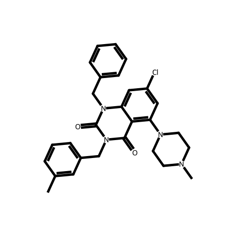 Cc1cccc(Cn2c(=O)c3c(N4CCN(C)CC4)cc(Cl)cc3n(Cc3ccccc3)c2=O)c1